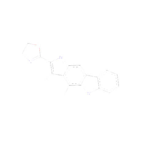 CC1=C(C2=NCCO2)N=c2cc3c(c(C)c21)=Nc1ccccc1-3